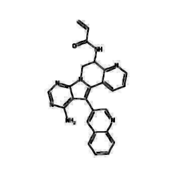 C=CC(=O)NC1Cn2c(c(-c3cnc4ccccc4c3)c3c(N)ncnc32)-c2cccnc21